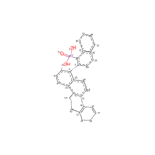 O=P(O)(O)c1c(-c2cccc3c4c(ccc23)C2=C(CCC=C2)CC4)ccc2ccccc12